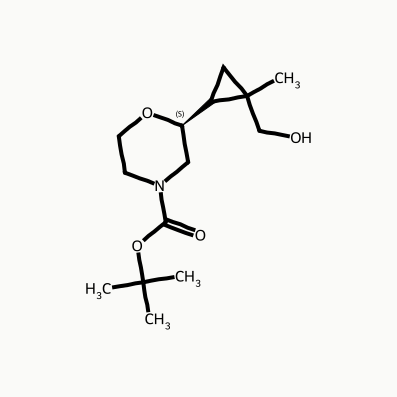 CC(C)(C)OC(=O)N1CCO[C@@H](C2CC2(C)CO)C1